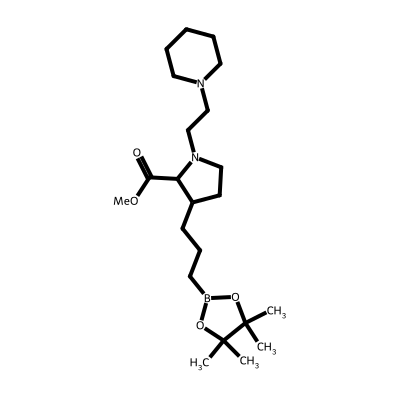 COC(=O)C1C(CCCB2OC(C)(C)C(C)(C)O2)CCN1CCN1CCCCC1